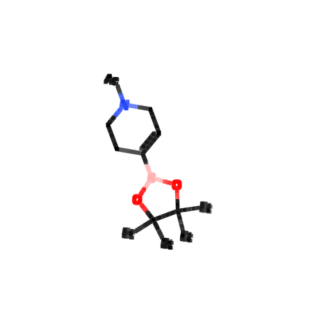 CCC1(CC)OB(C2=CCN(C(C)=O)CC2)OC1(CC)CC